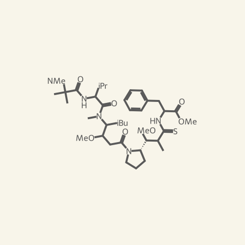 CCC(C)C(C(CC(=O)N1CCC[C@H]1C(OC)C(C)C(=S)NC(Cc1ccccc1)C(=O)OC)OC)N(C)C(=O)C(NC(=O)C(C)(C)NC)C(C)C